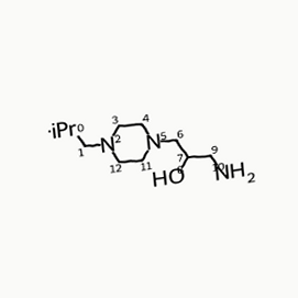 C[C](C)CN1CCN(CC(O)CN)CC1